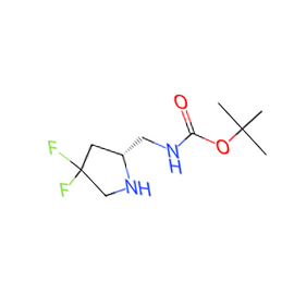 CC(C)(C)OC(=O)NC[C@H]1CC(F)(F)CN1